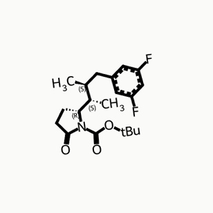 C[C@H]([C@H]1CCC(=O)N1C(=O)OC(C)(C)C)[C@@H](C)Cc1cc(F)cc(F)c1